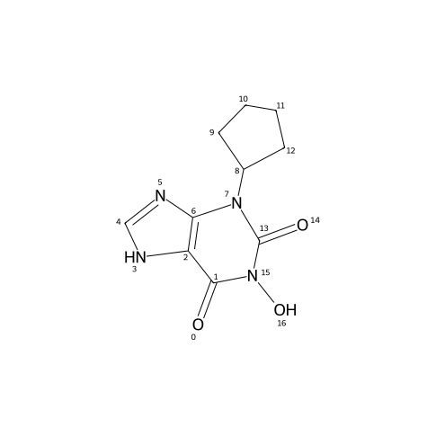 O=c1c2[nH]cnc2n(C2CCCC2)c(=O)n1O